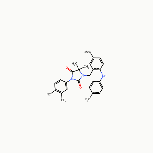 COc1ccc(Nc2ccc(C(F)(F)F)cc2)c(CN2C(=O)N(c3ccc(C#N)c(C(F)(F)F)c3)C(=O)C2(C)C)c1